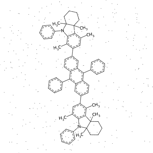 Cc1cc(-c2ccc3c(-c4ccccc4)c4cc(-c5cc(C)c6c(c5C)N(c5ccccc5)C5(C)CCCCC65C)ccc4c(-c4ccccc4)c3c2)c(C)c2c1N(c1ccccc1)C1(C)CCCCC21C